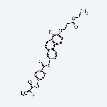 C=COC(=O)CCOc1ccc2c(ccc3cc(SC(=O)c4ccc(OC(=O)C(=C)F)cc4)ccc32)c1F